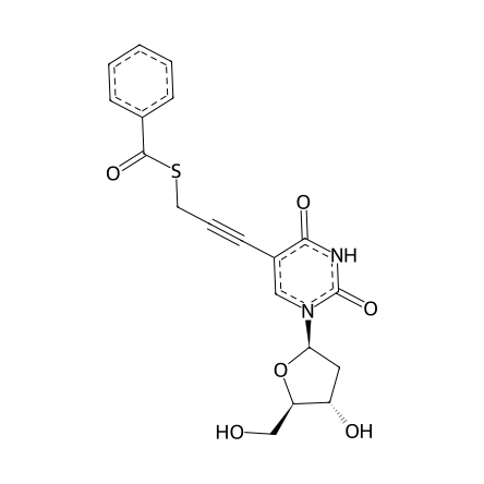 O=C(SCC#Cc1cn([C@H]2C[C@H](O)[C@@H](CO)O2)c(=O)[nH]c1=O)c1ccccc1